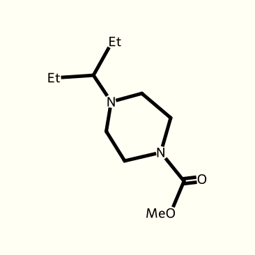 CCC(CC)N1CCN(C(=O)OC)CC1